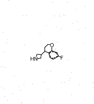 Fc1ccc2c(c1)OCCC2C1CNC1